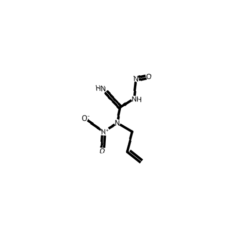 C=CCN(C(=N)NN=O)[N+](=O)[O-]